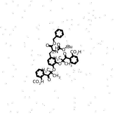 CC(C)(C)OC(=O)N[C@@H](Cc1ccc(OC(C)(C)C(=O)c2ccccc2C(=O)O)c(OC(C)(C)C(=O)c2ccccc2C(=O)O)c1)C(=O)OCc1ccccc1